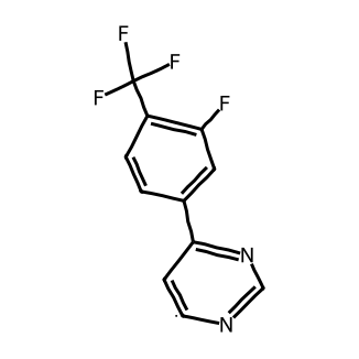 Fc1cc(-c2c[c]ncn2)ccc1C(F)(F)F